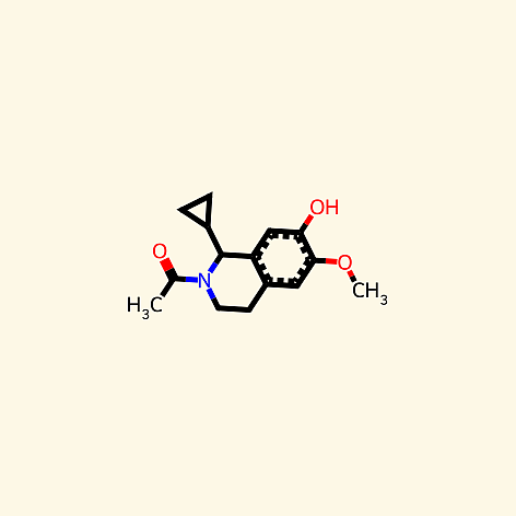 COc1cc2c(cc1O)C(C1CC1)N(C(C)=O)CC2